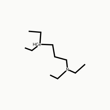 CCN(CC)CC[CH2][GeH]([CH2]C)[CH2]C